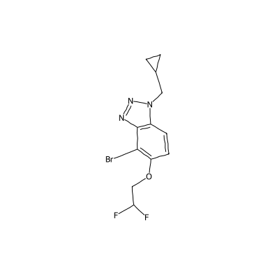 FC(F)COc1ccc2c(nnn2CC2CC2)c1Br